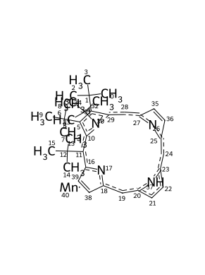 CC(C)(C)c1c(C(C)(C)C)c2c(C(C)(C)C)c3nc(cc4ccc(cc5nc(cc1n2C(C)(C)C)C=C5)[nH]4)C=C3.[Mn]